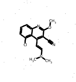 COc1nc2cccc(Cl)c2c(C=CN(C)C)c1C#N